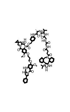 COc1cc2c(cc1OCCCOc1cc3c(cc1OC)C(=O)N1CC4(CC4)C[C@H]1C(O)N3C(=O)OCc1ccc(NC(=O)[C@H](C)NC(=O)[C@@H](NC(=O)CNC(=O)CNC(=O)CCC(=O)N3Cc4ccccc4C4=C(NNN4C(C)C)c4ccccc43)C(C)C)cc1)NC[C@@H]1CC(c3ccccc3)=CN1C2=O